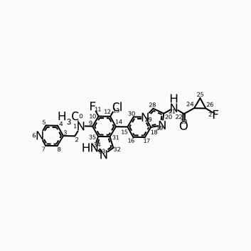 CN(Cc1ccncc1)c1c(F)c(Cl)c(-c2ccc3nc(NC(=O)C4CC4F)cn3c2)c2cn[nH]c12